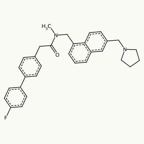 CN(Cc1cccc2cc(CN3CCCC3)ccc12)C(=O)Cc1ccc(-c2ccc(F)cc2)cc1